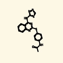 CC(=O)Nc1ccc(Sc2nc(Nc3nncs3)c3ccccc3n2)cc1